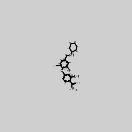 NC(=O)c1ccc(Oc2c(F)cc(CNC3CCCCC3)cc2F)cc1O